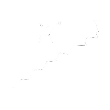 C=CC(=O)OC.CCCCCCCC/C=C\CCCCCCCCCCCC(=O)O.[MgH2]